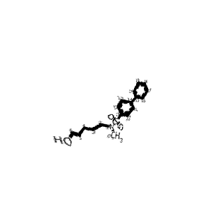 CN(CCCCCO)S(=O)(=O)c1ccc(-c2ccccc2)cc1